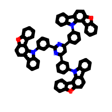 c1cc(-c2cc(-c3cccc(-n4c5ccccc5c5ccc6oc7ccccc7c6c54)c3)nc(-c3cccc(-n4c5ccccc5c5ccc6oc7ccccc7c6c54)c3)n2)cc(-n2c3ccccc3c3ccc4oc5ccccc5c4c32)c1